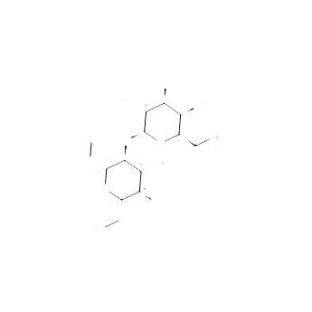 CC(=O)C[C@@H]1O[C@H](CO)[C@@H](O[C@@H]2O[C@H](CO)[C@H](O)[C@H](O)[C@H]2O)[C@H](O)[C@H]1O